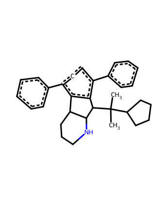 CC(C)(C1CCCC1)C1c2c(-c3ccccc3)ccc(-c3ccccc3)c2C2CCCNC21